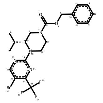 CC(C)[C@@H]1CN(C(=O)OCc2ccccc2)CCN1c1ncc(Br)c(C(F)(F)F)n1